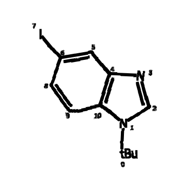 CC(C)(C)n1cnc2cc(I)ccc21